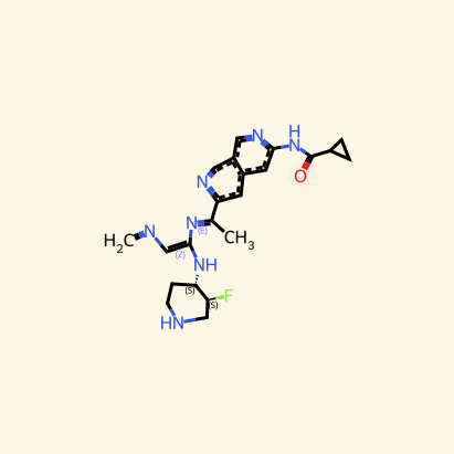 C=N/C=C(\N=C(/C)c1cc2cc(NC(=O)C3CC3)ncc2cn1)N[C@H]1CCNC[C@@H]1F